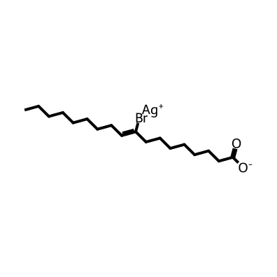 CCCCCCCCC=C(Br)CCCCCCCC(=O)[O-].[Ag+]